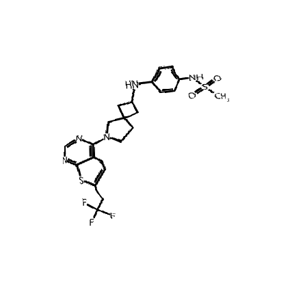 CS(=O)(=O)Nc1ccc(NC2CC3(CCN(c4ncnc5sc(CC(F)(F)F)cc45)C3)C2)cc1